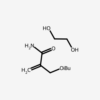 C=C(COCC(C)C)C(N)=O.OCCO